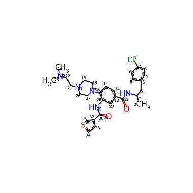 CC(Cc1ccc(Cl)cc1)NC(=O)c1ccc(N2CCN(CCN(C)C)CC2)c(NC(=O)c2ccsc2)c1